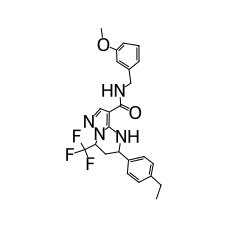 CCc1ccc(C2CC(C(F)(F)F)n3ncc(C(=O)NCc4cccc(OC)c4)c3N2)cc1